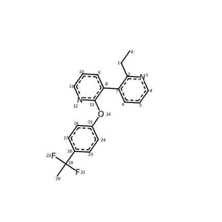 CCc1ncccc1-c1cccnc1Oc1ccc(C(C)(F)F)cc1